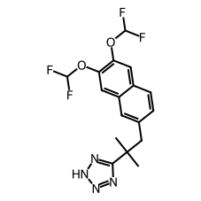 CC(C)(Cc1ccc2cc(OC(F)F)c(OC(F)F)cc2c1)c1nn[nH]n1